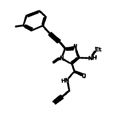 C#CCNC(=O)c1c(NCC)nc(C#Cc2cccc(C)c2)n1C